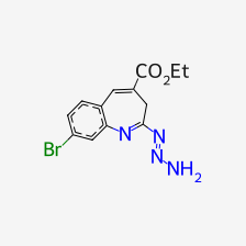 CCOC(=O)C1=Cc2ccc(Br)cc2N=C(N=NN)C1